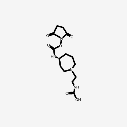 O=C(O)NCCN1CCC[C@H](NC(=O)ON2C(=O)CCC2=O)CC1